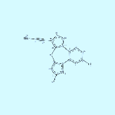 Cn1cc2c(n1)-c1cc(Cl)ccc1-n1cnc(C#CC(C)(C)C)c1C2